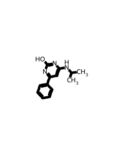 CC(C)Nc1cc(-c2ccccc2)nc(O)n1